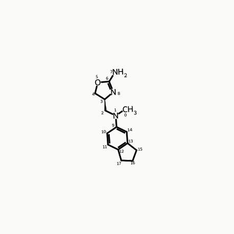 CN(C[C@H]1COC(N)=N1)c1ccc2c(c1)CCC2